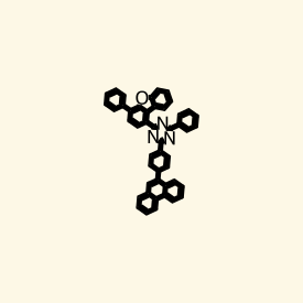 C1=CC(c2cc3ccccc3c3ccccc23)CC=C1c1nc(-c2ccccc2)nc(-c2ccc(-c3ccccc3)c3oc4ccccc4c23)n1